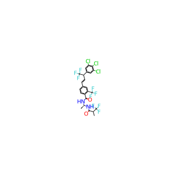 CC(C(=O)N[C@@H](C)NC(=O)c1ccc(/C=C/C(c2cc(Cl)c(Cl)c(Cl)c2)C(F)(F)F)cc1C(F)(F)F)C(F)(F)F